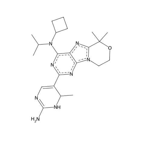 CC1NC(N)=NC=C1c1nc(N(C(C)C)C2CCC2)c2nc3n(c2n1)CCOC3(C)C